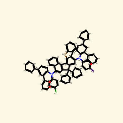 Fc1ccc(N(c2ccc(-c3ccccc3)cc2-c2ccccc2)c2cc3c(c4ccccc24)-c2c(cc(N(c4ccc(I)cc4)c4ccc(-c5ccccc5)cc4-c4ccccc4)c4c2sc2ccccc24)C3(c2ccccc2)c2ccccc2)cc1